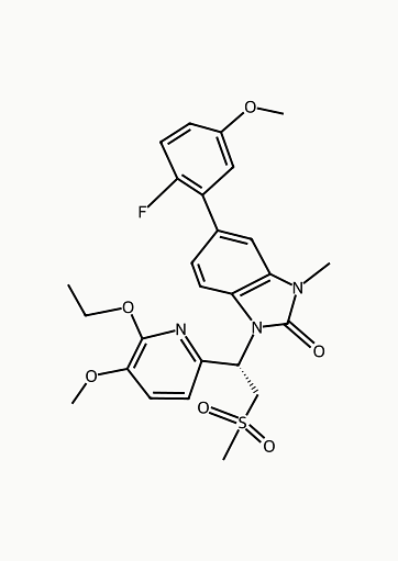 CCOc1nc([C@@H](CS(C)(=O)=O)n2c(=O)n(C)c3cc(-c4cc(OC)ccc4F)ccc32)ccc1OC